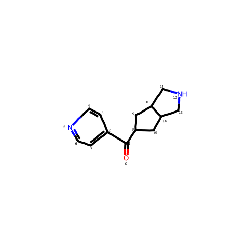 O=C(c1ccncc1)C1CC2CNCC2C1